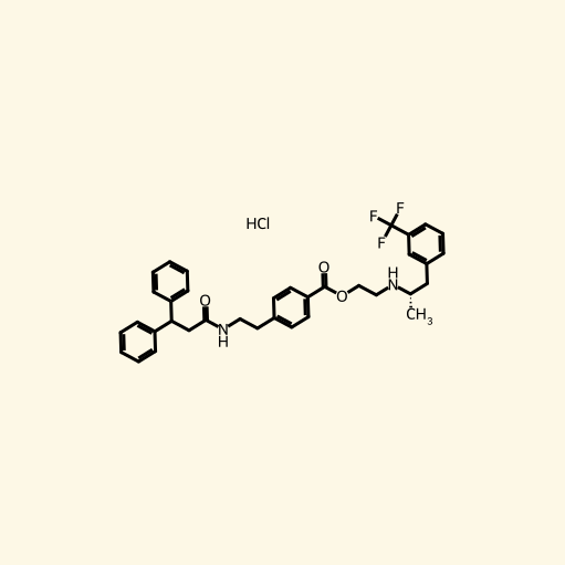 C[C@@H](Cc1cccc(C(F)(F)F)c1)NCCOC(=O)c1ccc(CCNC(=O)CC(c2ccccc2)c2ccccc2)cc1.Cl